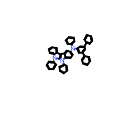 c1ccc(-c2cc(-c3ccccc3)cc(N(c3ccccc3)c3ccc4c(c3)c3c5ccccc5n(-c5ccccc5)c3n4-c3ccccc3)c2)cc1